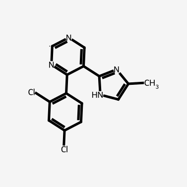 Cc1c[nH]c(-c2cn[c]nc2-c2ccc(Cl)cc2Cl)n1